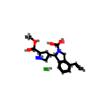 C=Cc1cccc2c1CN(C(=O)O)C2C1CNC(C(=O)OC)C1.Cl